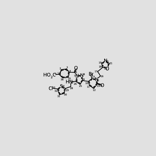 O=C(O)c1ccc(C(=O)n2nc(-c3ccc(=O)n(CCc4cnco4)c3Br)cc2NCc2ccc(Cl)s2)cc1